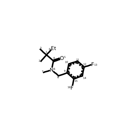 CCC(C)(C)C(=O)N(C)Cc1ccc(F)cc1F